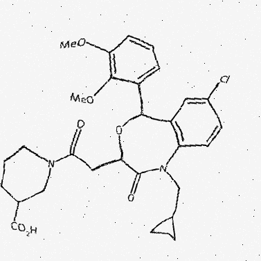 COc1cccc(C2OC(CC(=O)N3CCCC(C(=O)O)C3)C(=O)N(CC3CC3)c3ccc(Cl)cc32)c1OC